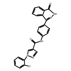 O=C(Nc1ccc(-c2n[nH]c(=O)c3ccccc23)cc1)c1cnn(-c2ccccc2Cl)c1